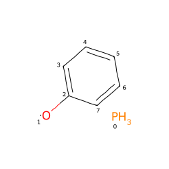 P.[O]c1ccccc1